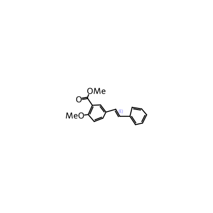 COC(=O)c1cc(/C=C/c2ccccc2)ccc1OC